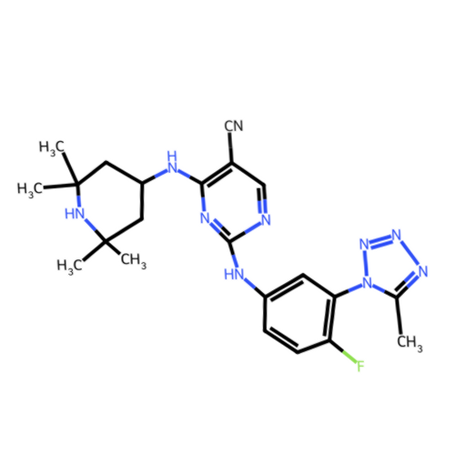 Cc1nnnn1-c1cc(Nc2ncc(C#N)c(NC3CC(C)(C)NC(C)(C)C3)n2)ccc1F